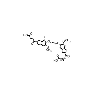 COc1cc2sc(C(=O)[C@@H]3C[C@H]3C(=O)O)cc2cc1OCCCOc1c(OC)cc2c(c1F)CN(C(=O)CCC(=O)O)C2